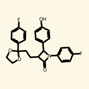 O=C1C(CCC2(c3ccc(F)cc3)OCCO2)C(c2ccc(O)cc2)N1c1ccc(F)cc1